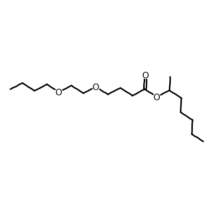 CCCCCC(C)OC(=O)CCCOCCOCCCC